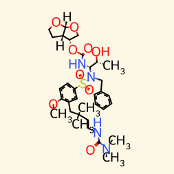 COc1ccc(S(=O)(=O)N(Cc2ccccc2)[C@H](NC(=O)O[C@H]2CO[C@H]3OCC[C@H]32)[C@@H](C)O)cc1CC(C)(C)CCNC(=O)N(C)C